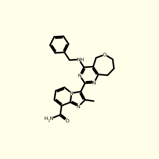 Cc1nc2c(C(N)=O)cccn2c1-c1nc2c(c(NCc3ccccc3)n1)COCCC2